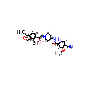 COc1cc(C(=O)NC2CCN(CC(O)c3ccc4c(c3C)COC4C)CC2)ncc1C#N